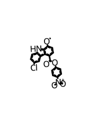 COc1ccc(C(=O)Oc2ccc([N+](=O)[O-])cc2)c2c1[nH]c1ccc(Cl)cc12